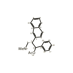 CNC[C@H](c1ccc2ccccc2c1)C(OC(C)=O)c1ccccc1